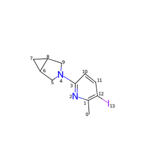 Cc1nc(N2CC3CC3C2)ccc1I